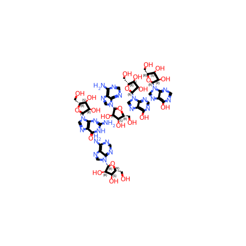 Nc1nc2c(ncn2[C@@H]2O[C@H](CO)[C@@H](O)[C@H]2O)c(=O)[nH]1.Nc1ncnc2c1ncn2[C@@H]1O[C@H](CO)[C@@H](O)[C@H]1O.Nc1ncnc2c1ncn2[C@@H]1O[C@H](CO)[C@@H](O)[C@H]1O.OC[C@H]1O[C@@H](n2cnc3c(O)ncnc32)[C@H](O)[C@@H]1O.OC[C@H]1O[C@@H](n2cnc3c(O)ncnc32)[C@H](O)[C@@H]1O